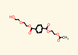 CC(=O)OCCOC(=O)c1ccc(C(=O)OCCOCCO)cc1